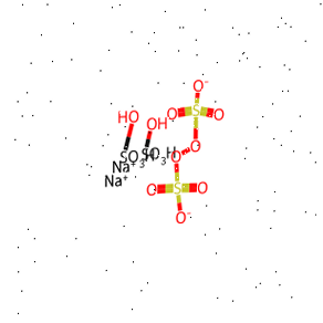 O=S(=O)(O)O.O=S(=O)(O)O.O=S(=O)([O-])OOS(=O)(=O)[O-].[Na+].[Na+]